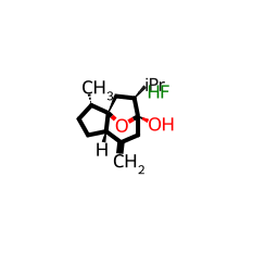 C=C1C[C@]2(O)O[C@@]3(C[C@H]2C(C)C)[C@@H](C)CC[C@@H]13.F